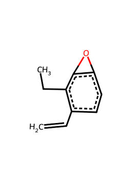 C=Cc1ccc2c(c1CC)O2